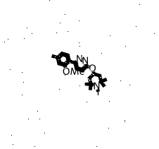 COc1cc(C)ccc1-c1ccc(OC2CC(C)(C)N(I)C(C)(C)C2)nn1